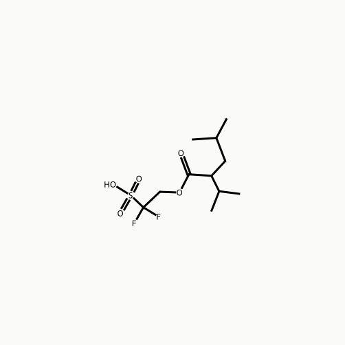 CC(C)CC(C(=O)OCC(F)(F)S(=O)(=O)O)C(C)C